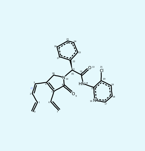 C=C/C=C\C1=C(C=C)C(=O)N([C@H](C(=O)Nc2ncccc2Cl)c2ccccc2)C1